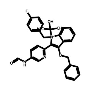 CC(C)(O)[N+]1(Cc2ccc(F)cc2)C(c2ccc(NC=O)cn2)=C(OCc2ccccc2)c2ccccc21